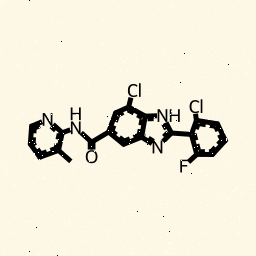 Cc1cccnc1NC(=O)c1cc(Cl)c2[nH]c(-c3c(F)cccc3Cl)nc2c1